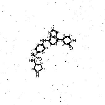 O=c1cc(-c2ccc(Nc3ccc(S(=O)(=O)NC4CCNC4)cc3)c3nccn23)cc[nH]1